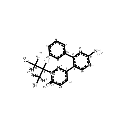 [2H]C([2H])([2H])C([2H])(n1nc(-c2cnc(N)nc2-c2ccccc2)ccc1=O)C([2H])([2H])[2H]